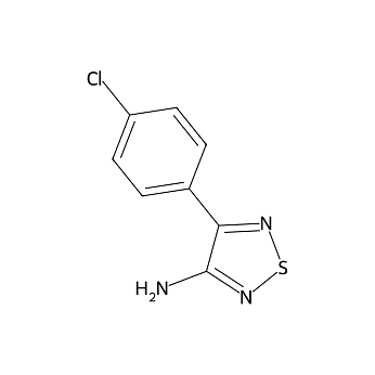 Nc1nsnc1-c1ccc(Cl)cc1